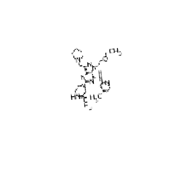 CCOCCn1nc(CN2CCCCC2)c2nc(N3CCN[C@H](C)C3)nc(Nc3cc(C)ccn3)c21